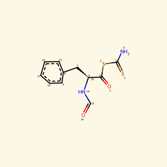 NC(=S)SC(=O)[C@H](Cc1ccccc1)NC=O